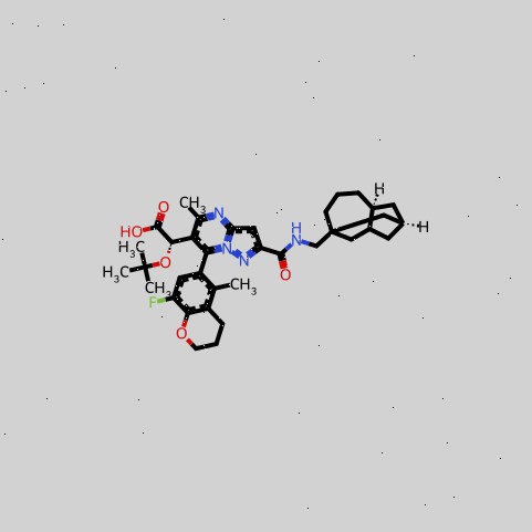 Cc1nc2cc(C(=O)NCC34CCC[C@H]5C[C@@H](CC5C3)C4)nn2c(-c2cc(F)c3c(c2C)CCCO3)c1[C@H](OC(C)(C)C)C(=O)O